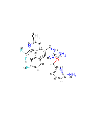 Cc1cc(C2=C(c3ccc(F)cc3)NC(N)(OCc3cccc(N)n3)N=C2)cc(C(F)F)n1